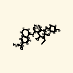 CCn1c(=O)c(C(=O)CN2CCCc3cc(C(N)=O)ccc32)c(N)n(Cc2ccc(C)cc2)c1=O